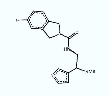 CNC(CNC(=O)N1Cc2ccc(F)cc2C1)c1ccsc1